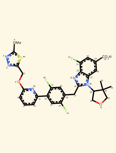 COc1nnc(COc2cccc(-c3cc(F)c(Cc4nc5c(F)cc(C(=O)O)cc5n4C4COCC4(C)C)cc3F)n2)s1